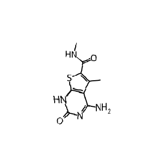 CNC(=O)c1sc2[nH]c(=O)nc(N)c2c1C